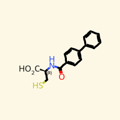 O=C(N[C@@H](CS)C(=O)O)c1ccc(-c2ccccc2)cc1